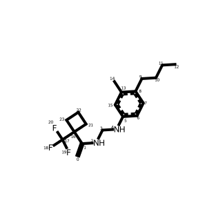 C=C(NCNc1ccc(CCCC)c(C)c1)C1(C(F)(F)F)CCC1